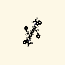 N#CC(C#N)=C1C2=CCCC=C2C(=O)/C1=N\c1cc2c(s1)c1sc3c(sc4c5sc(/N=C6\C(=O)C7=CCCC=C7C6=C(C#N)C#N)cc5n(C(=O)OCc5ccccc5)c43)c1n2C(=O)OCc1ccccc1